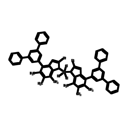 CCC1=Cc2c(-c3cc(-c4ccccc4)cc(-c4ccccc4)c3)c(C)c(C)c(C)c2[CH]1[Zr]([Cl])([Cl])([CH2]C)[CH]1C(CC)=Cc2c(-c3cc(-c4ccccc4)cc(-c4ccccc4)c3)c(C)c(C)c(C)c21